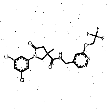 CC1(C(=O)NCc2ccnc(OCC(F)(F)F)c2)CC(=O)N(c2cc(Cl)cc(Cl)c2)C1